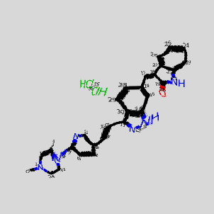 CN1CCN(c2ccc(C=Cc3n[nH]c4cc(C=C5C(=O)Nc6ccccc65)ccc34)cn2)CC1.Cl.Cl